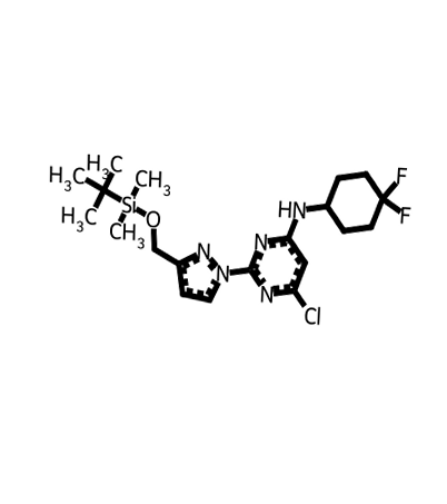 CC(C)(C)[Si](C)(C)OCc1ccn(-c2nc(Cl)cc(NC3CCC(F)(F)CC3)n2)n1